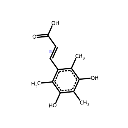 Cc1c(O)c(C)c(/C=C/C(=O)O)c(C)c1O